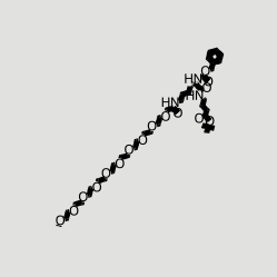 COCCOCCOCCOCCOCCOCCOCCOCCOCCOCC(=O)NCCCC[C@H](NC(=O)OCc1ccccc1)C(=O)NCCCC(=O)OC(C)(C)C